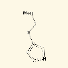 COCSn1ccnc1